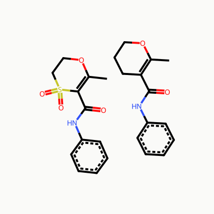 CC1=C(C(=O)Nc2ccccc2)CCCO1.CC1=C(C(=O)Nc2ccccc2)S(=O)(=O)CCO1